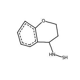 SNC1CCOc2ccccc21